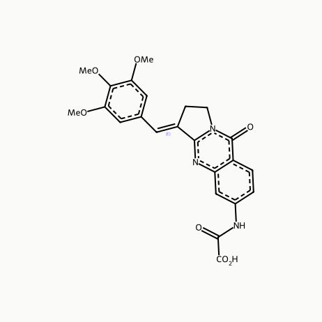 COc1cc(/C=C2\CCn3c2nc2cc(NC(=O)C(=O)O)ccc2c3=O)cc(OC)c1OC